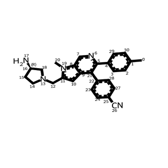 Cc1ccc(-c2ncc3c(cc(CN4CC[C@@H](N)C4)n3C)c2-c2ccc(C#N)cc2)cc1